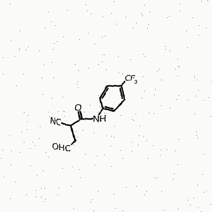 N#CC(CC=O)C(=O)Nc1ccc(C(F)(F)F)cc1